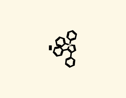 C#C.C1=C[Si](c2ccccc2)(c2ccccc2)C(c2ccccc2)=C1c1ccccc1